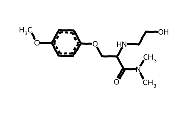 COc1ccc(OCC(NCCO)C(=O)N(C)C)cc1